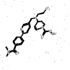 CN(C)C(=O)c1ccc(-c2ccc(CN(CCC(F)(F)F)C3CCN(C(=O)OC(C)(C)C)CC3)cn2)cc1